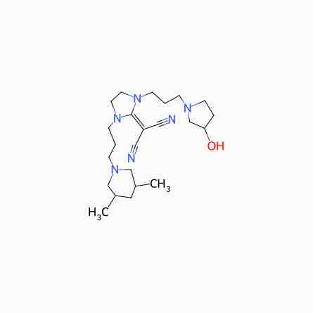 CC1CC(C)CN(CCCN2CCN(CCCN3CCC(O)C3)C2=C(C#N)C#N)C1